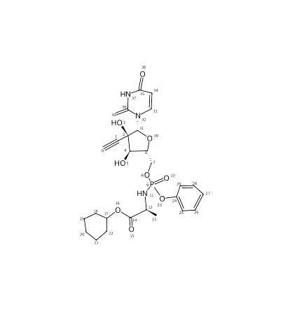 C#C[C@@]1(O)[C@H](O)[C@@H](COP(=O)(N[C@@H](C)C(=O)OC2CCCCC2)Oc2ccccc2)O[C@H]1N1C=CC(=O)NC1=C